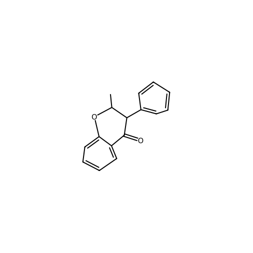 CC1Oc2ccccc2C(=O)C1c1ccccc1